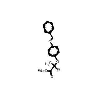 CCC(C)(Oc1ccc(OCc2ccccc2)cc1)C(=O)OC